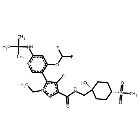 CCn1nc(C(=O)NC[C@]2(O)CC[C@@H](S(C)(=O)=O)CC2)c(Cl)c1-c1cnc(NC(C)(C)C)cc1OC(F)F